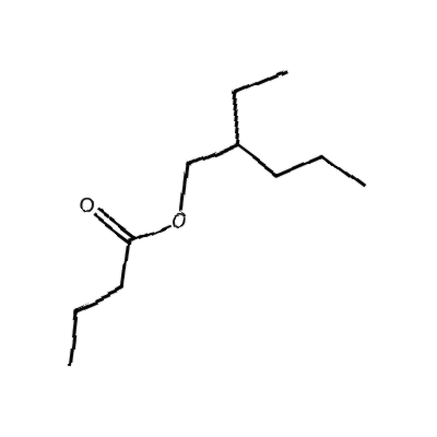 CCCC(=O)OCC(CC)CCC